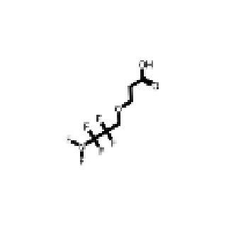 O=C(O)CCOCC(F)(F)C(F)(F)N(F)F